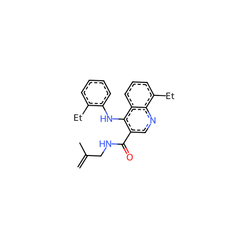 C=C(C)CNC(=O)c1cnc2c(CC)cccc2c1Nc1ccccc1CC